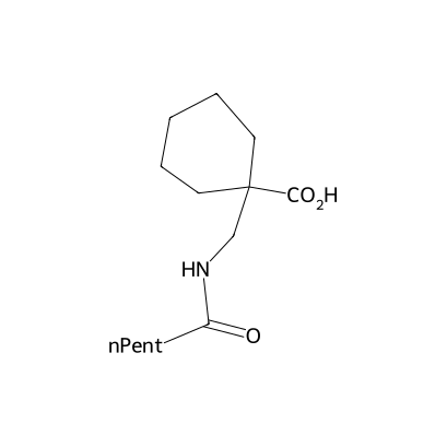 CCCCCC(=O)NCC1(C(=O)O)CCCCC1